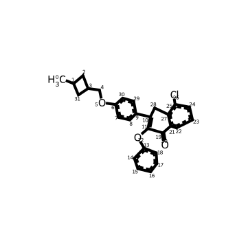 CC1CC(COc2ccc(C3=C(Oc4ccccc4)C(=O)c4cccc(Cl)c4C3)cc2)C1